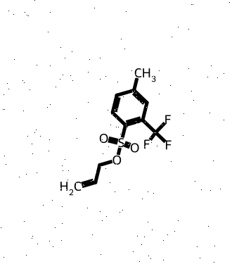 C=CCOS(=O)(=O)c1ccc(C)cc1C(F)(F)F